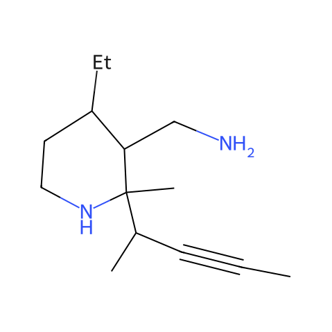 CC#CC(C)C1(C)NCCC(CC)C1CN